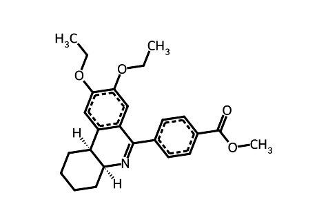 CCOc1cc2c(cc1OCC)[C@@H]1CCCC[C@@H]1N=C2c1ccc(C(=O)OC)cc1